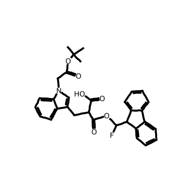 CC(C)(C)OC(=O)Cn1cc(CC(C(=O)O)C(=O)OC(F)C2c3ccccc3-c3ccccc32)c2ccccc21